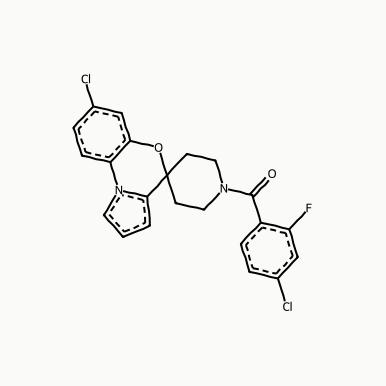 O=C(c1ccc(Cl)cc1F)N1CCC2(CC1)Oc1cc(Cl)ccc1-n1cccc12